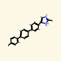 Cc1ccc(-c2ccc(-c3ccc(-c4cnc(C)[nH]4)cc3)cc2)cc1